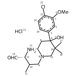 COc1cc(C2(O)CCN(CC(C)[C@@H](N)C=O)CC2(C)C)ccc1Cl.Cl